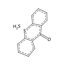 O=c1c2ccccc2sc2ccccc12.S